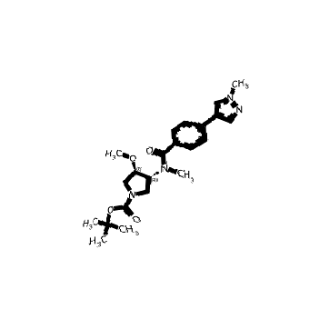 CO[C@@H]1CN(C(=O)OC(C)(C)C)C[C@H]1N(C)C(=O)c1ccc(-c2cnn(C)c2)cc1